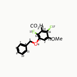 COc1cc(OCc2ccccc2)c(F)c(C(=O)O)c1F